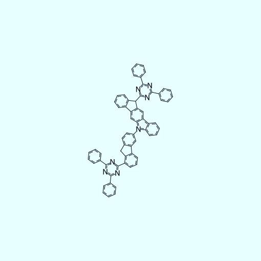 c1ccc(-c2nc(-c3ccccc3)nc(-c3cccc4c3Cc3ccc(-n5c6ccccc6c6cc7c(cc65)-c5ccccc5C7c5nc(-c6ccccc6)nc(-c6ccccc6)n5)cc3-4)n2)cc1